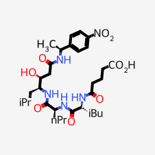 CCC[C@H](NC(=O)[C@@H](NC(=O)CCCC(=O)O)[C@@H](C)CC)C(=O)N[C@@H](CC(C)C)[C@@H](O)CC(=O)N[C@@H](C)c1ccc([N+](=O)[O-])cc1